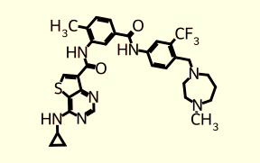 Cc1ccc(C(=O)Nc2ccc(CN3CCCN(C)CC3)c(C(F)(F)F)c2)cc1NC(=O)c1csc2c(NC3CC3)ncnc12